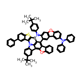 CC(C)(C)c1ccc(N2B3c4sc5ccc(-c6ccccc6)cc5c4-n4c5ccc(C(C)(C)C)cc5c5c6oc7ccccc7c6c(c3c54)-c3cc4c(cc32)oc2ccc(N(c3ccccc3)c3ccccc3)cc24)cc1